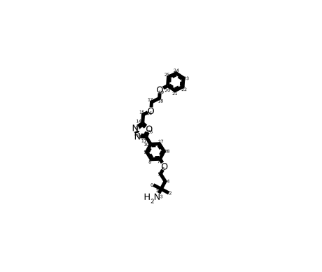 CC(C)(N)CCOc1ccc(-c2nnc(COCCOc3ccccc3)o2)cc1